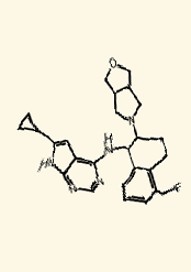 Fc1cccc2c1CCC(N1CC3COCC3C1)C2Nc1ncnc2[nH]c(C3CC3)cc12